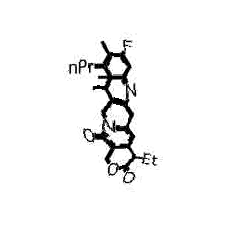 CCCC1=C(C)C(F)=CC2=NC3=C(Cn4c(cc5c(c4=O)COC(=O)[C@@H]5CC)C3)C(C)C21C